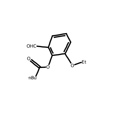 CCC[CH]C(=O)Oc1c(C=O)cccc1OCC